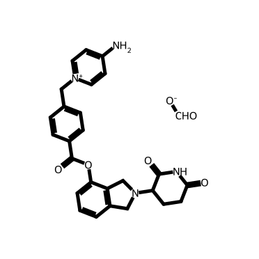 Nc1cc[n+](Cc2ccc(C(=O)Oc3cccc4c3CN(C3CCC(=O)NC3=O)C4)cc2)cc1.O=C[O-]